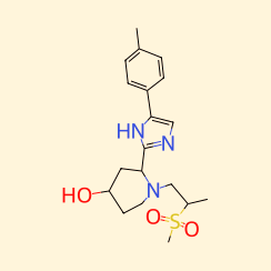 Cc1ccc(-c2cnc(C3CC(O)CCN3CC(C)S(C)(=O)=O)[nH]2)cc1